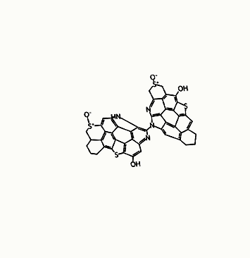 [O-][S+]1Cc2nc3c4c5c2c(c(O)c2sc6cc7c8c(cc(c4c8c6c25)n3-c2nc3cc(O)c4sc5c6c8c9c(cc%10[nH]c2c2c3c4c5c9c%102)[S+]([O-])CC8CCC6)CCC7)C1